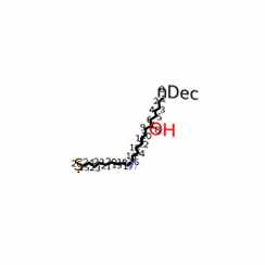 CCCCCCCCCCCCCCCCC(O)CCCCCCC/C=C\CCCCCCCC[S]